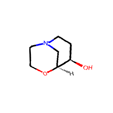 O[C@@H]1CCN2CCO[C@H]1C2